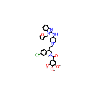 COc1cc(C(=O)N(C)CC(CCN2CCC(Nc3nc4ccccc4n3Cc3ccco3)CC2)c2ccc(Cl)cc2)cc(OC)c1OC